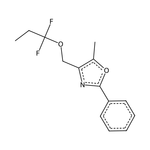 CCC(F)(F)OCc1nc(-c2ccccc2)oc1C